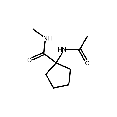 CNC(=O)C1(NC(C)=O)CCCC1